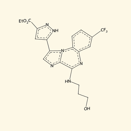 CCOC(=O)c1cc(-c2cnc3c(NCCCO)nc4cc(C(F)(F)F)ccc4n23)[nH]n1